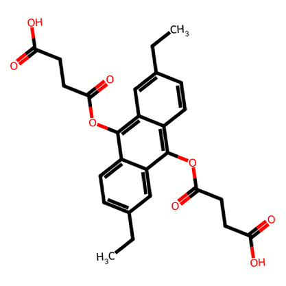 CCc1ccc2c(OC(=O)CCC(=O)O)c3cc(CC)ccc3c(OC(=O)CCC(=O)O)c2c1